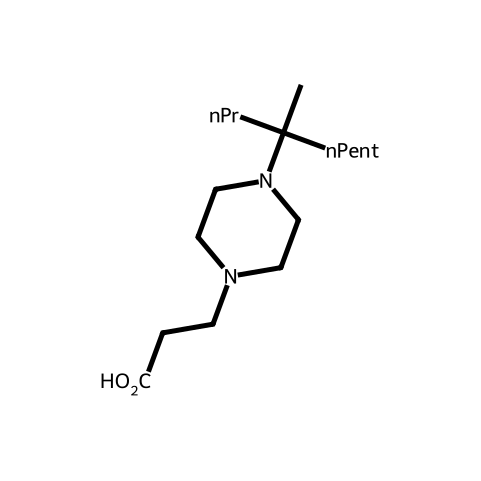 CCCCCC(C)(CCC)N1CCN(CCC(=O)O)CC1